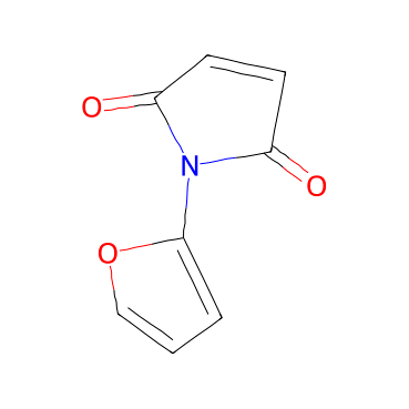 O=C1C=CC(=O)N1c1ccco1